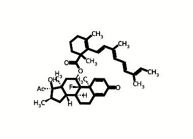 CC=C(C)C=CC=C(C)C=CC1=C(C)CCCC1(C)C(=O)O[C@H]1C[C@@]2(C)[C@@H](C[C@@H](C)[C@]2(O)C(C)=O)[C@@H]2CCC3=CC(=O)C=C[C@]3(C)[C@@]12F